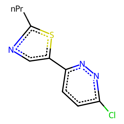 CCCc1ncc(-c2ccc(Cl)nn2)s1